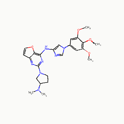 COc1cc(-n2cnc(Nc3nc(N4CC[C@@H](N(C)C)C4)nc4ccoc34)c2)cc(OC)c1OC